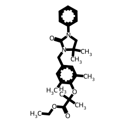 CCOC(=O)C(C)(C)Oc1c(C)cc(CN2C(=O)N(c3ccccc3)CC2(C)C)cc1C